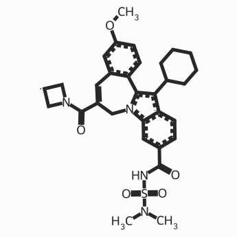 COc1ccc2c(c1)C=C(C(=O)N1C[CH]C1)Cn1c-2c(C2CCCCC2)c2ccc(C(=O)NS(=O)(=O)N(C)C)cc21